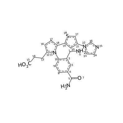 NCc1cc(C(N)=O)ccc1-n1c(CCC(=O)O)ccc1-c1cc(-n2ccnc2)cs1